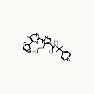 COCCc1c(C(=O)NC(C)(C)c2ccncc2)cnn1-c1ncc(C)c(-c2cccs2)n1